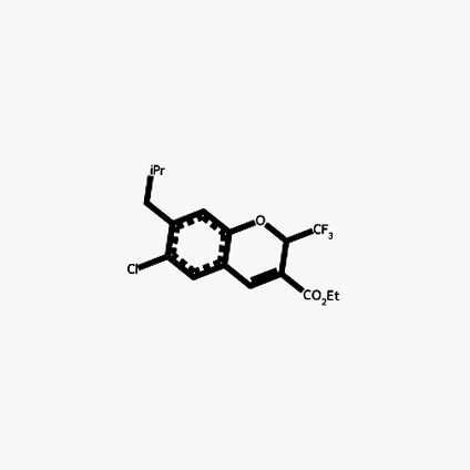 CCOC(=O)C1=Cc2cc(Cl)c(CC(C)C)cc2OC1C(F)(F)F